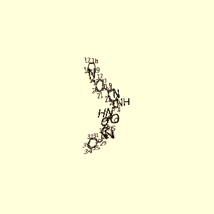 O=C(Nc1c[nH]c2ncc(-c3ccc(CN4CCCC4)cc3)cc12)Oc1cnn(Cc2ccccc2)c1